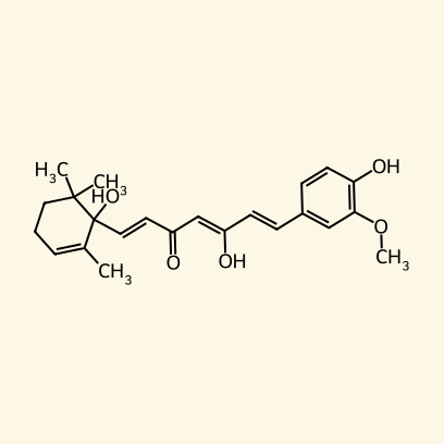 COc1cc(/C=C/C(O)=C/C(=O)/C=C/C2(O)C(C)=CCCC2(C)C)ccc1O